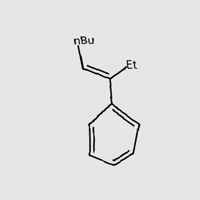 CCCCC=C(CC)c1ccccc1